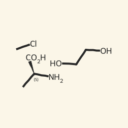 CCl.C[C@H](N)C(=O)O.OCCO